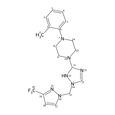 Cc1ccccc1N1CCN(C2N=CN(Cn3ccc(C(F)(F)F)n3)N2)CC1